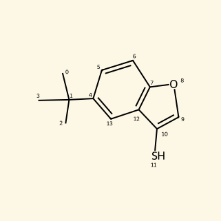 CC(C)(C)c1ccc2occ(S)c2c1